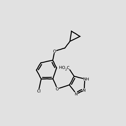 O=C(O)c1[nH]nnc1Oc1cc(OCC2CC2)ccc1Cl